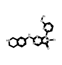 CCn1c(=O)c2cnc(Nc3ccc4c(c3)CNCC4)nc2n1-c1cccc(OC(C)C)n1